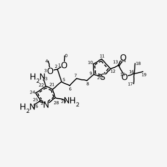 COC(OC)C(CCCc1ccc(C(=O)OC(C)(C)C)s1)c1c(N)cc(N)nc1N